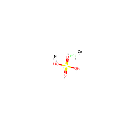 Cl.O=S(=O)(O)O.[Ni].[Zn]